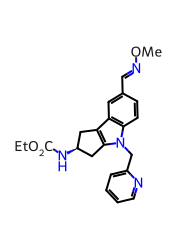 CCOC(=O)N[C@H]1Cc2c(n(Cc3ccccn3)c3ccc(/C=N/OC)cc23)C1